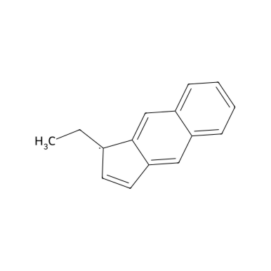 CC[C]1C=Cc2cc3ccccc3cc21